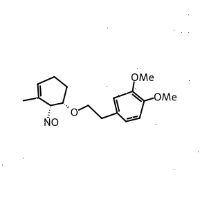 COc1ccc(CCO[C@H]2CCC=C(C)[C@H]2N=O)cc1OC